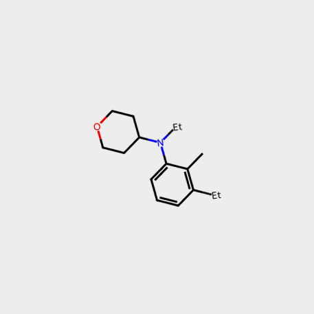 CCc1cccc(N(CC)C2CCOCC2)c1C